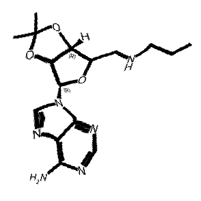 CCCNCC1O[C@@H](n2cnc3c(N)ncnc32)C2OC(C)(C)O[C@H]12